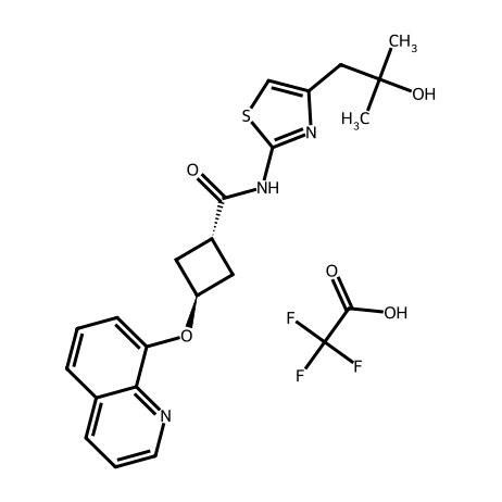 CC(C)(O)Cc1csc(NC(=O)[C@H]2C[C@H](Oc3cccc4cccnc34)C2)n1.O=C(O)C(F)(F)F